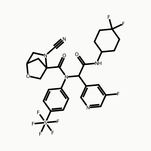 N#CN1CC2CC1(C(=O)N(c1ccc(S(F)(F)(F)(F)F)cc1)C(C(=O)NC1CCC(F)(F)CC1)c1cncc(F)c1)CO2